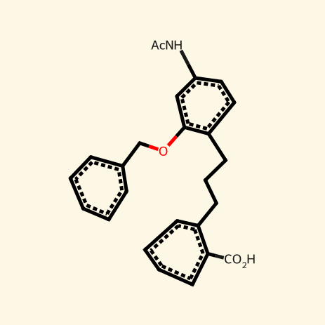 CC(=O)Nc1ccc(CCCc2ccccc2C(=O)O)c(OCc2ccccc2)c1